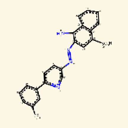 Nc1c(/N=N/c2ccc(-c3cccc(C(F)(F)F)c3)nc2)cc(S(=O)(=O)O)c2ccccc12